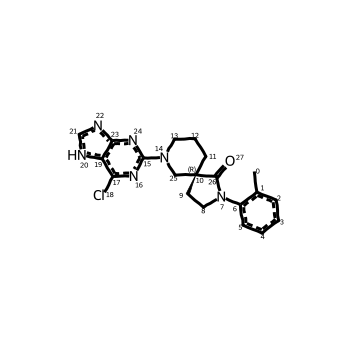 Cc1ccccc1N1CC[C@@]2(CCCN(c3nc(Cl)c4[nH]cnc4n3)C2)C1=O